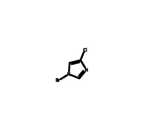 Clc1cn(Br)cn1